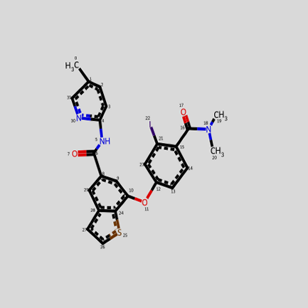 Cc1ccc(NC(=O)c2cc(Oc3ccc(C(=O)N(C)C)c(I)c3)c3sccc3c2)nc1